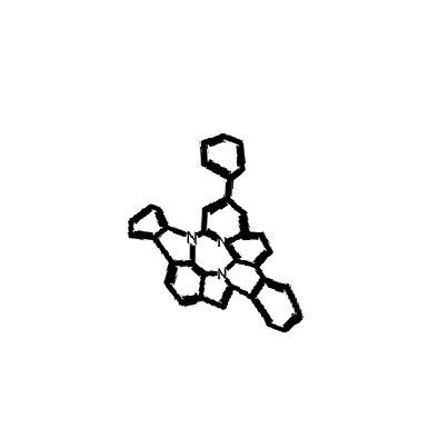 c1ccc(-c2ccnc(-n3c4ccccc4c4ccc5cc6c7ccccc7c7ccccc7n6c5c43)c2)cc1